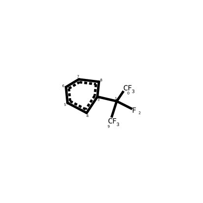 FC(F)(F)C(F)(c1cc[c]cc1)C(F)(F)F